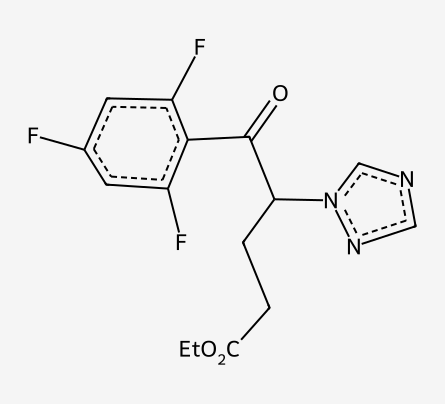 CCOC(=O)CCC(C(=O)c1c(F)cc(F)cc1F)n1cncn1